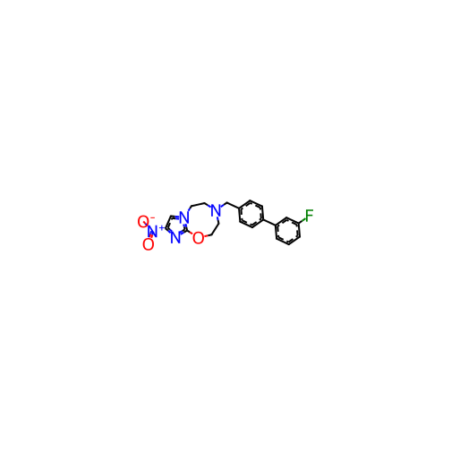 O=[N+]([O-])c1cn2c(n1)OCCN(Cc1ccc(-c3cccc(F)c3)cc1)CC2